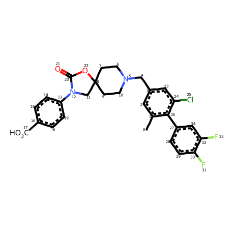 Cc1cc(CN2CCC3(CC2)CN(c2ccc(C(=O)O)cc2)C(=O)O3)cc(Cl)c1-c1ccc(F)c(F)c1